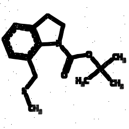 CSCc1cccc2c1N(C(=O)OC(C)(C)C)CC2